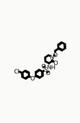 O=C1[C@H](NS(=O)(=O)c2ccc(Oc3ccc(Cl)cc3)cc2)CCCN1OCc1ccccc1